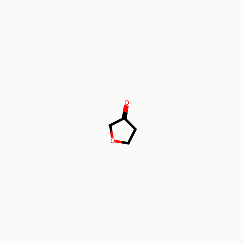 O=C1[CH]OCC1